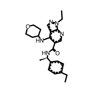 CCc1ccc([C@@H](C)NC(=O)c2cnc3c(cnn3CC)c2NC2CCOCC2)cc1